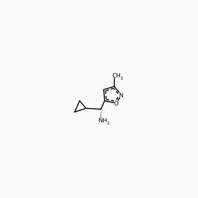 Cc1cc([C@H](N)C2CC2)on1